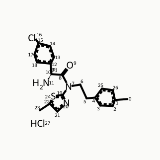 Cc1ccc(CCN(C(=O)[C@H](N)c2ccc(Cl)cc2)c2ncc(C)s2)cc1.Cl